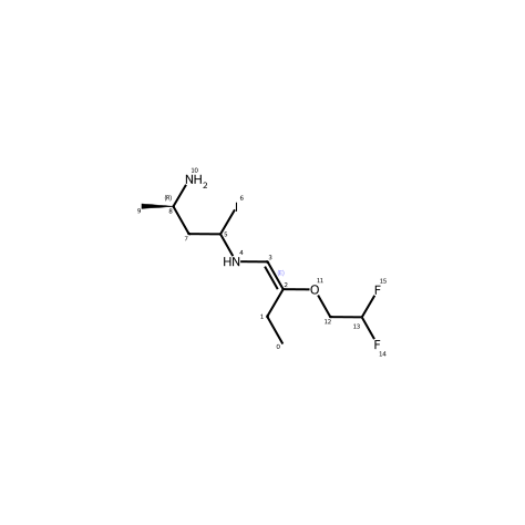 CC/C(=C\NC(I)C[C@@H](C)N)OCC(F)F